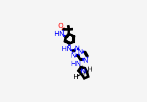 CN1[C@@H]2CC[C@H]1C[C@@H](Nc1nccn3nc(Nc4ccc5c(c4)NC(=O)C5(C)C)nc13)C2